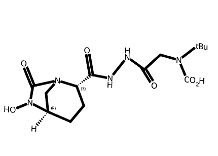 CC(C)(C)N(CC(=O)NNC(=O)[C@@H]1CC[C@@H]2CN1C(=O)N2O)C(=O)O